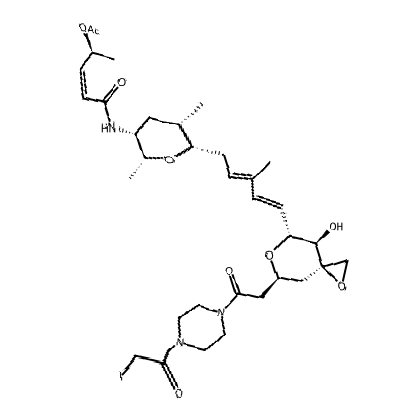 CC(=O)O[C@@H](C)/C=C\C(=O)N[C@@H]1C[C@H](C)[C@H](C/C=C(C)/C=C/[C@H]2O[C@H](CC(=O)N3CCN(C(=O)CI)CC3)C[C@@]3(CO3)[C@@H]2O)O[C@@H]1C